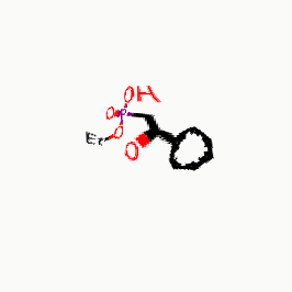 CCOP(=O)(O)CC(=O)c1ccccc1